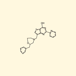 Oc1nc(-c2ccccn2)nc2c(CN3CCOC(Cc4ccccc4)C3)csc12